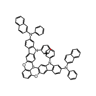 c1ccc(N(c2ccc3ccccc3c2)c2ccc3c4cc5c(cc4n(-c4ccccc4)c3c2)B2c3cc4c(cc3Oc3cccc(c32)O5)c2ccc(N(c3ccccc3)c3ccc5ccccc5c3)cc2n4-c2ccccc2)cc1